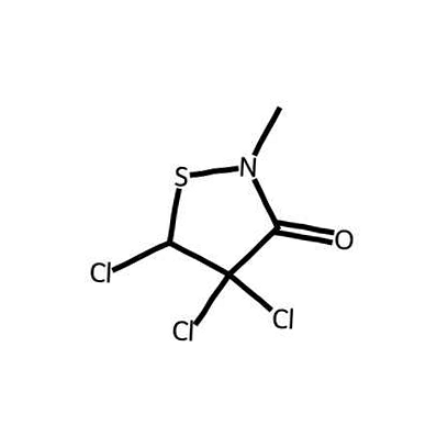 CN1SC(Cl)C(Cl)(Cl)C1=O